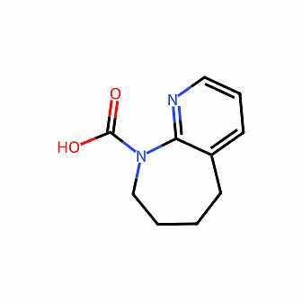 O=C(O)N1CCCCc2cccnc21